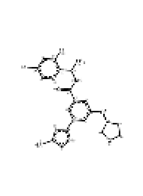 Cc1cnc(-c2cc(O[C@H]3CCOC3)cc(C(=O)NC(C)c3ncc(F)cc3Cl)c2)s1